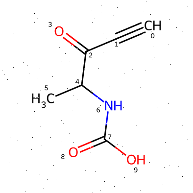 C#CC(=O)C(C)NC(=O)O